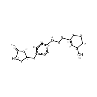 O=C1NCC(Cc2ccc(OCCC3=CC(O)CCC3)cc2)S1